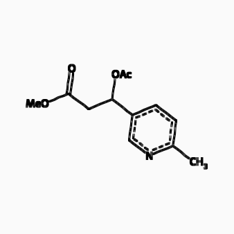 COC(=O)CC(OC(C)=O)c1ccc(C)nc1